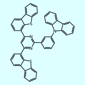 c1cc(-c2nc(-c3cccc4c3sc3ccccc34)cc(-c3cccc4c3sc3ccccc34)n2)cc(-n2c3ccccc3c3ccccc32)c1